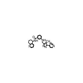 Cn1c(CNc2cccc(C(=O)NC3CCCc4ncccc43)c2)nnc1-c1ccncn1